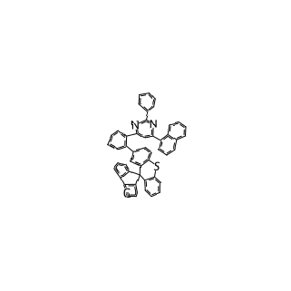 c1ccc(-c2nc(-c3ccccc3-c3ccc4c(c3)C3(c5ccccc5S4)c4ccccc4-c4ccccc43)cc(-c3cccc4ccccc34)n2)cc1